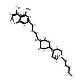 CCCCC[SiH]1CCC(C2CCC(CCCCc3cc(F)c(/C(F)=C\Cl)c(F)c3)CC2)CC1